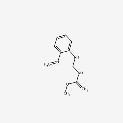 C=Nc1ccccc1NCNC(=C)OC